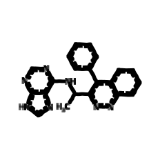 CC(Nc1ncnc2[nH]cnc12)c1nnc2ccccc2c1-c1ccccc1